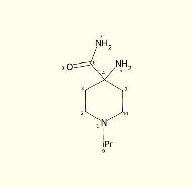 CC(C)N1CCC(N)(C(N)=O)CC1